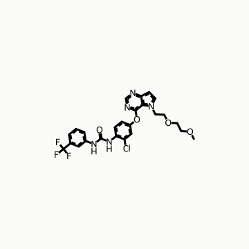 COCCOCCn1ccc2ncnc(Oc3ccc(NC(=O)Nc4cccc(C(F)(F)F)c4)c(Cl)c3)c21